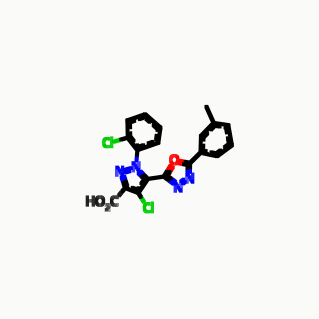 Cc1cccc(-c2nnc(-c3c(Cl)c(C(=O)O)nn3-c3ccccc3Cl)o2)c1